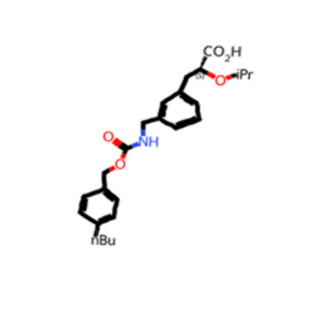 CCCCc1ccc(COC(=O)NCc2cccc(C[C@H](OC(C)C)C(=O)O)c2)cc1